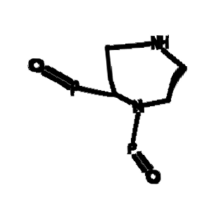 O=PC1CNCCN1P=O